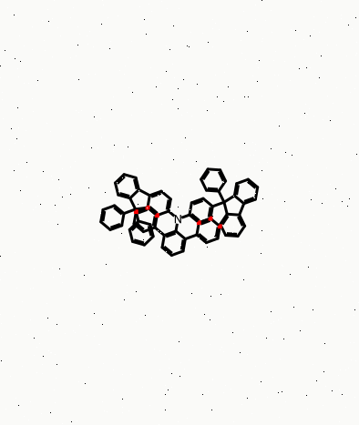 c1ccc(-c2cccc(-c3ccccc3)c2N(c2ccc(C3(c4ccccc4)c4ccccc4-c4ccccc43)cc2)c2ccc3c(c2)C(c2ccccc2)(c2ccccc2)c2ccccc2-3)cc1